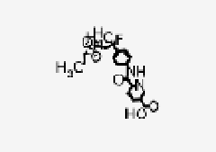 CCCS(=O)(=O)NCC(C)(F)c1ccc(NC(=O)c2ccc(C(=O)O)cn2)cc1